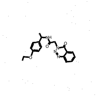 CCOc1ccc(C(C)NC(=O)Cn2nnc3ccccc3c2=O)cc1